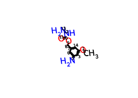 COc1cc(N)cc(COC(=O)NN)c1